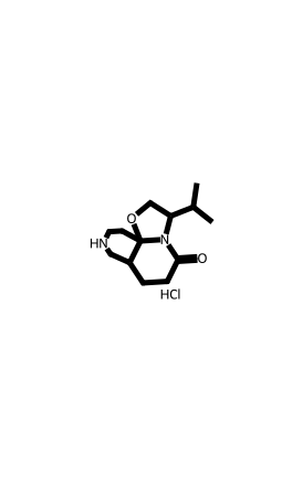 CC(C)C1COC23CCNCC2CCC(=O)N13.Cl